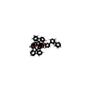 c1ccc(C2(c3ccc(N(c4cccc(-c5cccc6c5oc5ccccc56)c4)c4cccc5c4C4(c6ccccc6-c6ccccc64)c4ccccc4-5)cc3)c3ccccc3-c3ccccc32)cc1